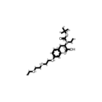 CCOCCOCCOc1ccc(CC(C(=O)O)N(CC)C(=O)OC(C)(C)C)cc1